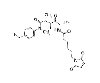 CC(C)[C@H](NC(=O)CCCCCN1C(=O)C=CC1=O)C(=O)N[C@@H](C)C(=O)N(C)c1ccc(CI)cc1